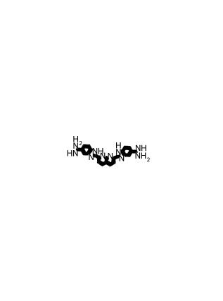 N=C(N)c1ccc2[nH]c(-c3ccc4ccc(-c5nc6cc(C(=N)N)ccc6[nH]5)nc4n3)nc2c1